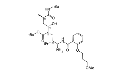 CCCCNC(=O)[C@H](C)C[C@H](O)[C@H](C[C@@H](C(C)C)C(N)NC(=O)c1ccccc1OCCCOC)C(=O)OC(C)(C)C